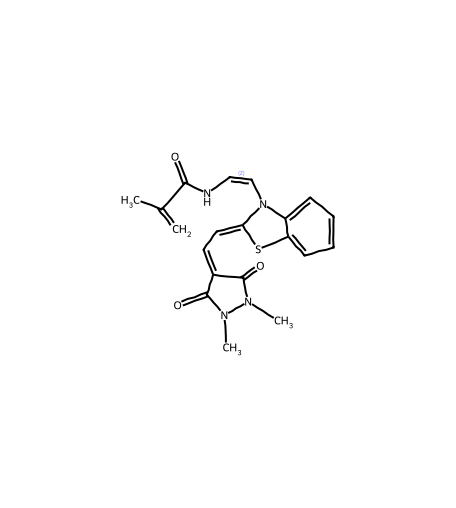 C=C(C)C(=O)N/C=C\N1C(=CC=C2C(=O)N(C)N(C)C2=O)Sc2ccccc21